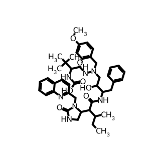 CCC(C)C(C(=O)NC(Cc1ccccc1)C(O)CN(Cc1ccc(OC)cc1)NC(=O)C(NC(=O)O)C(C)(C)C)C1CNC(=O)N1Cc1ccc2ccccc2n1